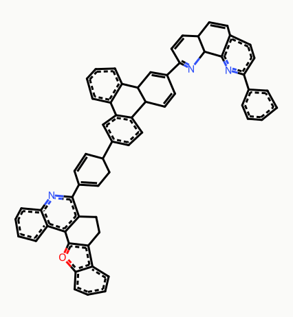 C1=CC2c3ccc(C4C=CC(c5nc6ccccc6c6c5CCc5c-6oc6ccccc56)=CC4)cc3-c3ccccc3C2C=C1C1=NC2c3nc(-c4ccccc4)ccc3C=CC2C=C1